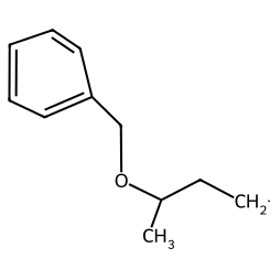 [CH2]CC(C)OCc1ccccc1